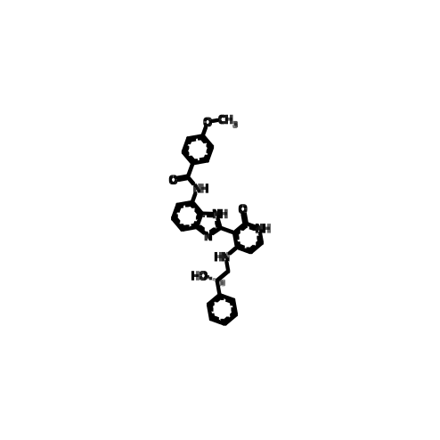 COc1ccc(C(=O)Nc2cccc3nc(-c4c(NC[C@@H](O)c5ccccc5)cc[nH]c4=O)[nH]c23)cc1